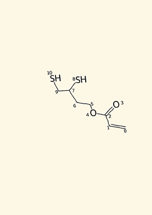 C=CC(=O)OCCC(S)CS